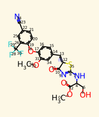 COC(=O)C(CO)NC1=NC(=O)/C(=C\c2ccc(Oc3ccc(C#N)cc3C(F)(F)F)c(OC)c2)S1